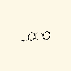 S=Nc1ccc(Oc2ccccc2)c(Cl)c1